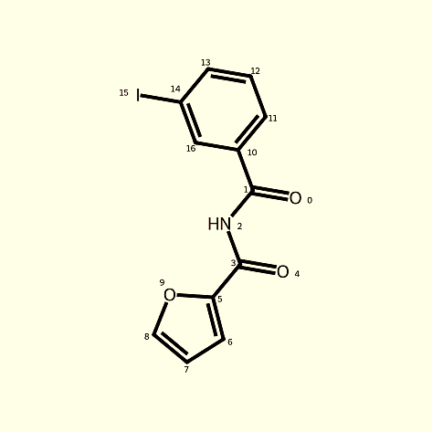 O=C(NC(=O)c1ccco1)c1cccc(I)c1